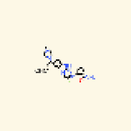 CN1CCN(C(CCC=O)c2ccc(Nc3ncc(F)c(N[C@@H]4CCC[C@@H]4C(N)=O)n3)cc2)CC1